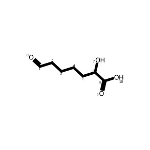 O=CCCCCC(O)C(=O)O